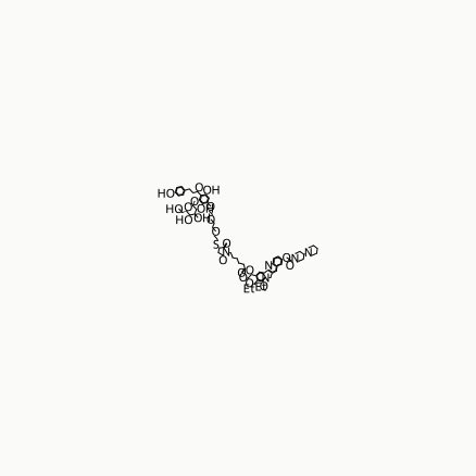 CCC1(CC)OC(=O)C(OC(=O)CCCCCN2C(=O)CC(SCCOCCOCCOc3cc(O)c(C(=O)CCc4ccc(O)cc4)c(O[C@@H]4O[C@H](CO)[C@@H](O)C(O)[C@H]4O)c3)C2=O)c2cc3n(c(=O)c21)Cc1cc2cc(OC(=O)N4CCC(N5CCCCC5)CC4)ccc2nc1-3